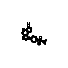 O=S(=O)(C1CC1)N1CCC(n2cnc3cnc4[nH]ccc4c32)CC1